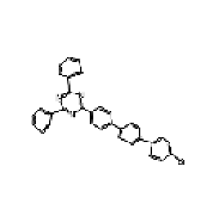 Brc1ccc(-c2ccc(-c3ccc(-c4nc(-c5ccccc5)nc(-c5ccccc5)n4)cc3)cc2)cc1